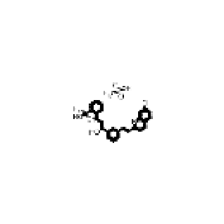 CC(C)(O)c1ccccc1CC[C@H](O)c1cccc(C=Cc2ccc3ccc(Cl)cc3n2)c1.CS(=O)(=O)O